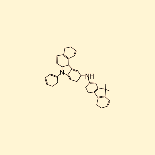 CC1(C)C2=C(CCC=C2)C2=C1C=C(NC1C=C3C(=CC1)N(C1=CC=CCC1)C1C=CC4=C(C=CCC4)C31)CC2